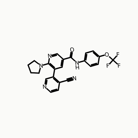 N#Cc1ccncc1-c1cc(C(=O)Nc2ccc(OC(F)(F)F)cc2)cnc1N1CCCC1